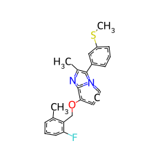 CSc1cccc(-c2c(C)nc3c(OCc4c(C)cccc4F)cccn23)c1